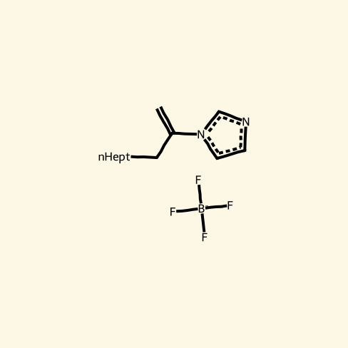 C=C(CCCCCCCC)n1ccnc1.F[B-](F)(F)F